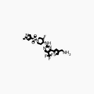 Cn1cc(S(=O)(=O)N2CC[C@@H](Nc3ncc(C(F)(F)F)c(-c4cc(CN)cs4)n3)[C@H](F)C2)cn1